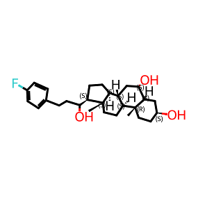 C[C@]12CC[C@H](O)C[C@@H]1[C@@H](O)C[C@@H]1[C@@H]2CC[C@]2(C)[C@@H](C(O)CCc3ccc(F)cc3)CC[C@@H]12